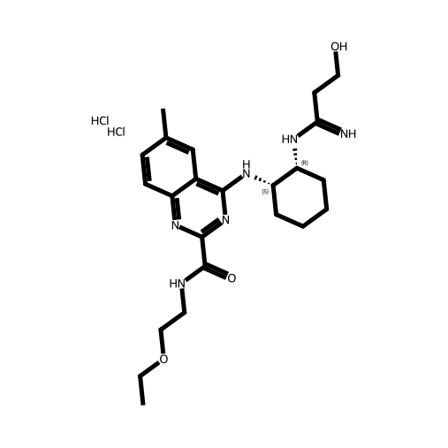 CCOCCNC(=O)c1nc(N[C@H]2CCCC[C@H]2NC(=N)CCO)c2cc(C)ccc2n1.Cl.Cl